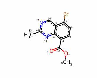 COC(=O)c1ccc(Br)c2cnc(C)nc12